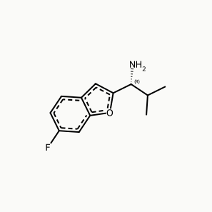 CC(C)[C@@H](N)c1cc2ccc(F)cc2o1